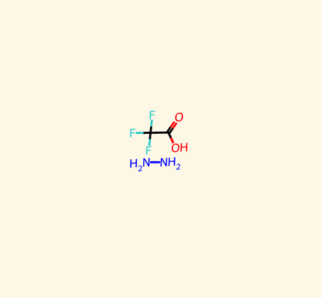 NN.O=C(O)C(F)(F)F